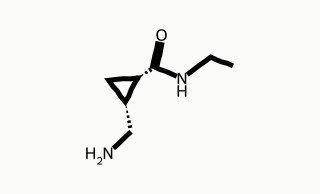 CCNC(=O)[C@H]1C[C@H]1CN